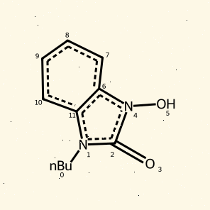 CCCCn1c(=O)n(O)c2ccccc21